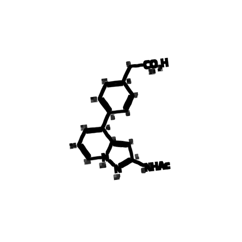 CC(=O)Nc1cc2c(-c3ccc(CC(=O)O)cc3)cccn2n1